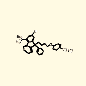 CC[C@H](C)[C@H](C)c1cc(Br)cc2c1-c1ccccc1C2(CCCCOc1ccc(C=O)cc1)c1ccccc1